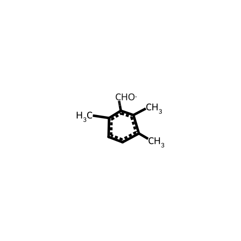 Cc1ccc(C)c([C]=O)c1C